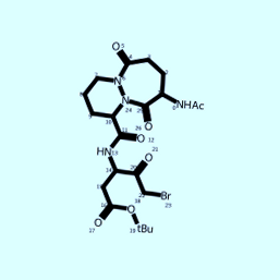 CC(=O)NC1CCC(=O)N2CCCC(C(=O)NC(CC(=O)OC(C)(C)C)C(=O)CBr)N2C1=O